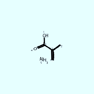 C=C(C)C(=O)O.[AlH3]